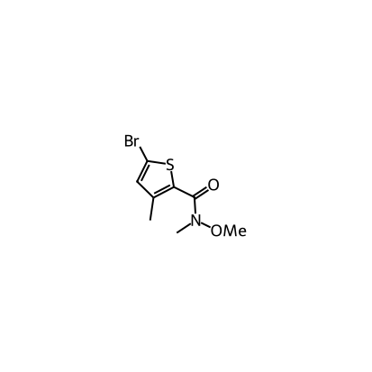 CON(C)C(=O)c1sc(Br)cc1C